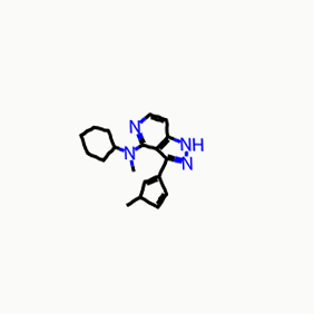 CC1C=CC(c2n[nH]c3ccnc(N(C)C4CCCCC4)c23)=C1